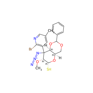 CO[C@H]1[C@@H](S)O[C@@H]2COC(c3ccccc3)O[C@@H]2C1(N=[N+]=[N-])c1cc(C)cnc1Br